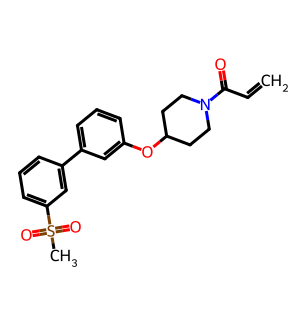 C=CC(=O)N1CCC(Oc2cccc(-c3cccc(S(C)(=O)=O)c3)c2)CC1